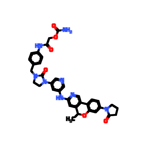 CC1Oc2cc(N3CCCC3=O)ccc2-c2cnc(Nc3cncc(N4CCN(Cc5ccc(NC(=O)COC(N)=O)cc5)C4=O)c3)cc21